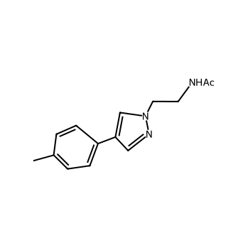 CC(=O)NCCn1cc(-c2ccc(C)cc2)cn1